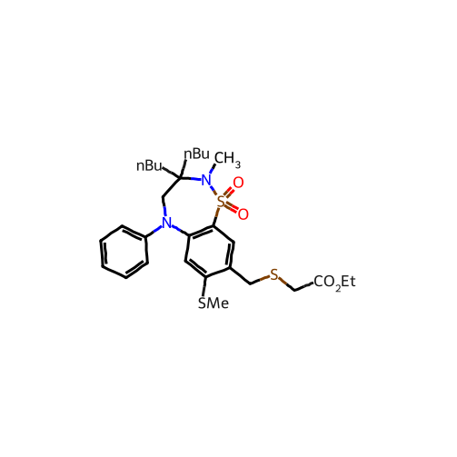 CCCCC1(CCCC)CN(c2ccccc2)c2cc(SC)c(CSCC(=O)OCC)cc2S(=O)(=O)N1C